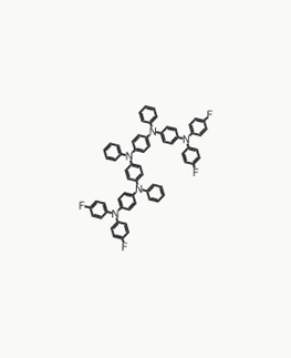 Fc1ccc(N(c2ccc(F)cc2)c2ccc(N(c3ccccc3)c3ccc(N(c4ccccc4)c4ccc(N(c5ccccc5)c5ccc(N(c6ccc(F)cc6)c6ccc(F)cc6)cc5)cc4)cc3)cc2)cc1